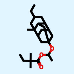 CCC1CC2C3CC4CC(OC(C)OC(=O)C(C)(C)CC)(C3)CC2C4(C)C1